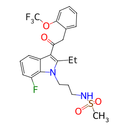 CCc1c(C(=O)Cc2ccccc2OC(F)(F)F)c2cccc(F)c2n1CCCNS(C)(=O)=O